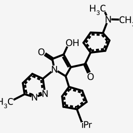 Cc1ccc(N2C(=O)C(O)=C(C(=O)c3ccc(N(C)C)cc3)C2c2ccc(C(C)C)cc2)nn1